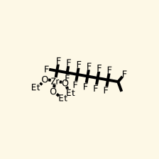 CC[O][Zr]([O]CC)([O]CC)[C](F)(F)C(F)(F)C(F)(F)C(F)(F)C(F)(F)C(F)(F)C(C)F